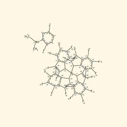 C[NH+](C)c1cc(F)ccc1F.FC1=C(F)C([B-](C2C(F)=C(F)c3c(F)c(F)c(F)c(F)c32)(C2C(F)=C(F)c3c(F)c(F)c(F)c(F)c32)C2C(F)=C(F)c3c(F)c(F)c(F)c(F)c32)c2c(F)c(F)c(F)c(F)c21